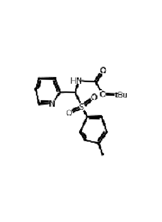 Cc1ccc(S(=O)(=O)C(NC(=O)OC(C)(C)C)c2ccccn2)cc1